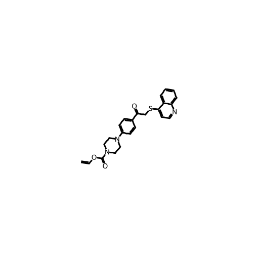 C=COC(=O)N1CCN(c2ccc(C(=O)CSc3ccnc4ccccc34)cc2)CC1